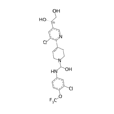 OC[C@@H](O)c1cnc(C2=CCN(C(O)Nc3ccc(OC(F)(F)F)c(Cl)c3)CC2)c(Cl)c1